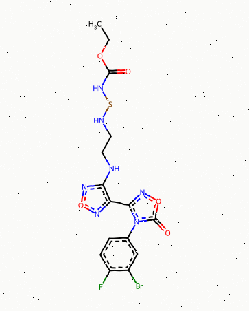 CCOC(=O)NSNCCNc1nonc1-c1noc(=O)n1-c1ccc(F)c(Br)c1